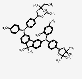 CCOB(OC(C)(C)CC)c1ccc(N(C2=C=C=C(C)C=C2)c2ccc3c(c2)-c2cc(N(c4ccc(B5OC(C)(C)C(C)(C)O5)cc4)c4ccc(C)cc4C)ccc2C3(C)C)cc1